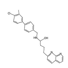 Cc1cc(-c2ccc(CNC(O)CCCc3ccc4cccnc4n3)cc2)ccc1Cl